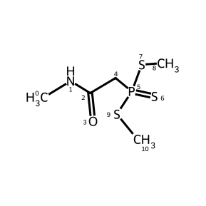 CNC(=O)CP(=S)(SC)SC